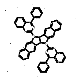 c1ccc(-c2nc(N3c4cc5ccccc5cc4C4C3c3cc5ccccc5cc3N4c3nc(-c4ccccc4)c4ccccc4n3)nc3ccccc23)cc1